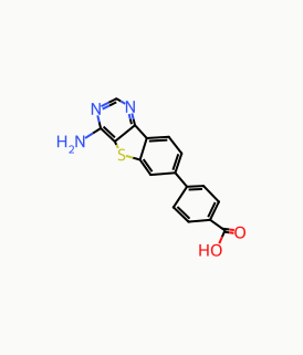 Nc1ncnc2c1sc1cc(-c3ccc(C(=O)O)cc3)ccc12